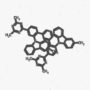 Cc1ccc2c(c1)c1ccccc1n2-c1ccc(-c2nc(C)nc(C)n2)cc1-c1cccc(-c2ccc(-c3nc(C)nc(C)n3)cc2-n2c3ccccc3c3cc(C)ccc32)c1